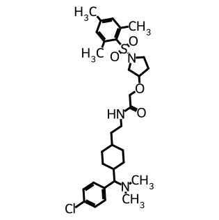 Cc1cc(C)c(S(=O)(=O)N2CCC(OCC(=O)NCCC3CCC(C(c4ccc(Cl)cc4)N(C)C)CC3)C2)c(C)c1